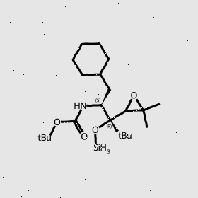 CC(C)(C)OC(=O)N[C@@H](CC1CCCCC1)[C@@](O[SiH3])(C1OC1(C)C)C(C)(C)C